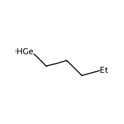 CCCC[CH2][GeH]